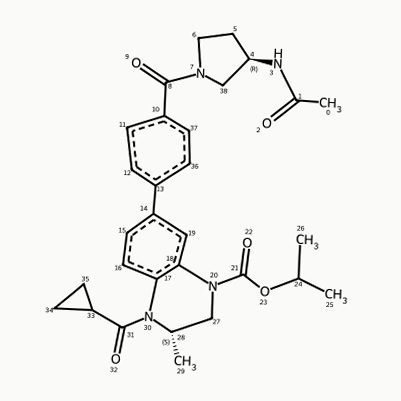 CC(=O)N[C@@H]1CCN(C(=O)c2ccc(-c3ccc4c(c3)N(C(=O)OC(C)C)C[C@H](C)N4C(=O)C3CC3)cc2)C1